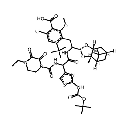 CCN1CCN(C(=O)NC(C(=O)NC(Cc2c(C(C)(C)C)cc(Cl)c(C(=O)O)c2OC)B2O[C@@H]3C[C@@H]4C[C@@H](C4(C)C)[C@]3(C)O2)c2csc(NC(=O)OC(C)(C)C)n2)C(=O)C1=O